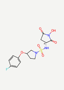 O=C1C[C@@H](NS(=O)(=O)N2CCC(Oc3ccc(F)cc3)C2)C(=O)N1O